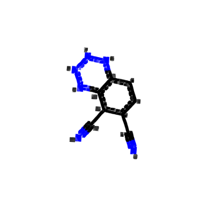 N#Cc1ccc2nnnnc2c1C#N